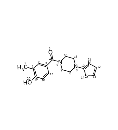 Cc1cc(C(=O)N2CCN(c3nccs3)CC2)ccc1O